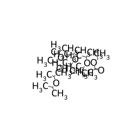 CC(C)OC(C)C.CC(C)OC(C)C.CC(C)OC(C)C.CC(C)OC(C)C.CCOC(C)=O